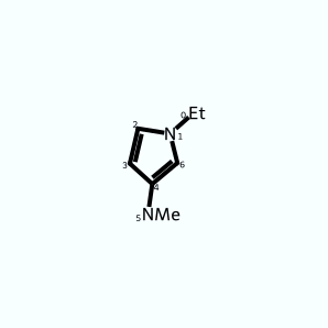 CCn1ccc(NC)c1